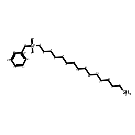 C[N+](C)(CCCCCCCCCCCCCCC[SiH3])Cc1ccccc1